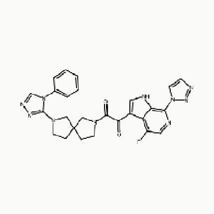 O=C(C(=O)N1CCC2(CCN(c3nncn3-c3ccccc3)C2)C1)c1c[nH]c2c(-n3ccnn3)ncc(F)c12